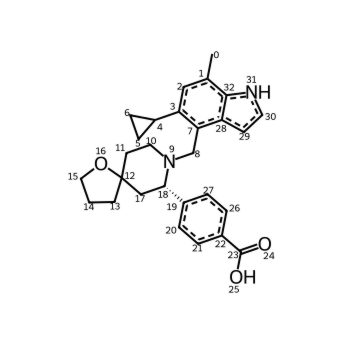 Cc1cc(C2CC2)c(CN2CCC3(CCCO3)C[C@H]2c2ccc(C(=O)O)cc2)c2cc[nH]c12